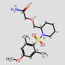 COc1cc(C)c(S(=O)(=O)N2CCCCC2COCC(N)=O)c(C)c1